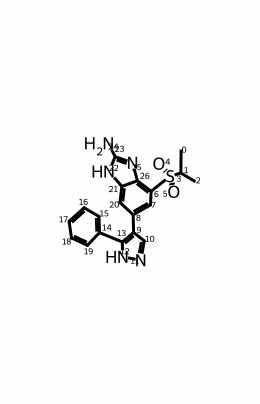 CC(C)S(=O)(=O)c1cc(-c2cn[nH]c2-c2ccccc2)cc2[nH]c(N)nc12